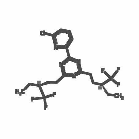 CC[C@H](CCc1nc(CC[C@H](CC)C(F)(F)F)nc(-c2cccc(Cl)n2)n1)C(F)(F)F